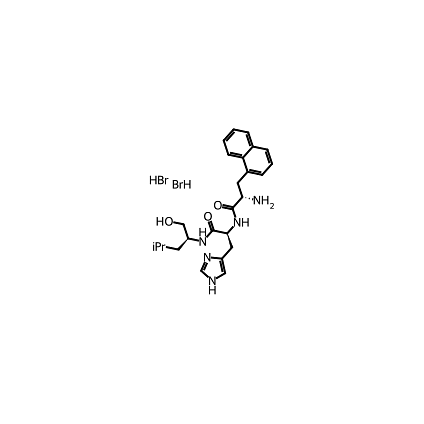 Br.Br.CC(C)C[C@@H](CO)NC(=O)[C@H](Cc1c[nH]cn1)NC(=O)[C@@H](N)Cc1cccc2ccccc12